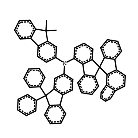 CC1(C)c2ccccc2-c2ccc(N(c3ccc4c(c3)C(c3ccccc3)(c3ccccc3)c3ccccc3-4)c3cccc4c3-c3ccccc3C43c4ccccc4-c4ccc5ccccc5c43)cc21